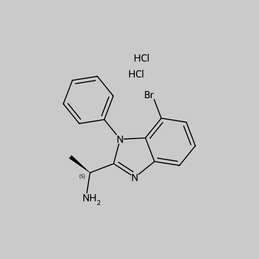 C[C@H](N)c1nc2cccc(Br)c2n1-c1ccccc1.Cl.Cl